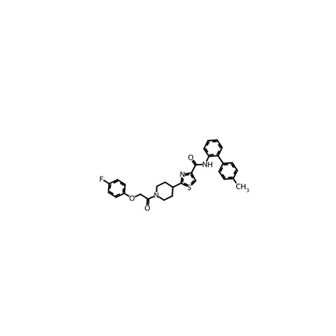 Cc1ccc(-c2ccccc2NC(=O)c2csc(C3CCN(C(=O)COc4ccc(F)cc4)CC3)n2)cc1